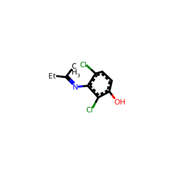 CCC(C)=Nc1c(Cl)ccc(O)c1Cl